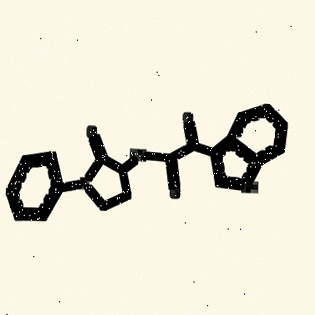 O=C(NC1CCN(c2ccccc2)C1=O)C(=O)c1c[nH]c2ccccc12